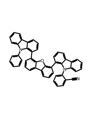 N#Cc1ccccc1-n1c2ccccc2c2cccc(-c3cccc4c3oc3c(-c5cccc6c7ccccc7n(-c7ccccc7)c56)cccc34)c21